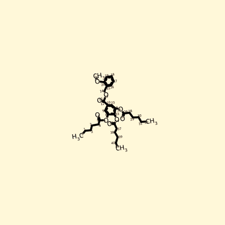 CCCCCC(=O)Oc1cc(C(=O)OCc2ccccc2OC)cc(OC(=O)CCCCC)c1OC(=O)CCCCC